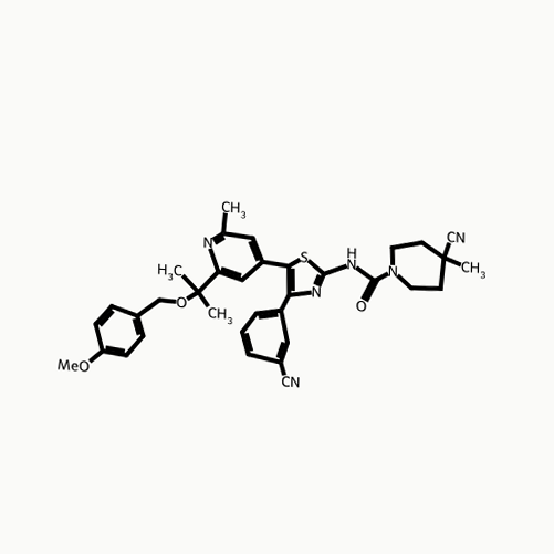 COc1ccc(COC(C)(C)c2cc(-c3sc(NC(=O)N4CCC(C)(C#N)CC4)nc3-c3cccc(C#N)c3)cc(C)n2)cc1